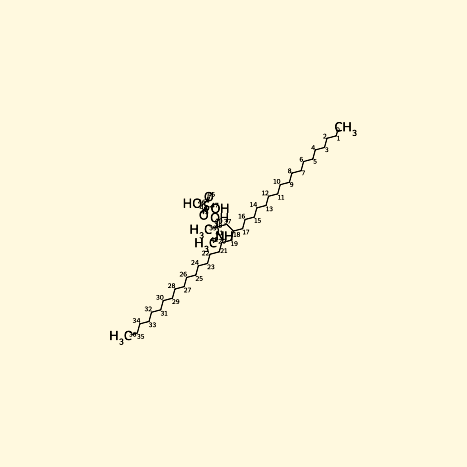 CCCCCCCCCCCCCCCCCCC(CCCCCCCCCCCCCCCCCC)CC(C)(O)NC.O=S(=O)(O)O